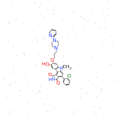 Cn1c2cc(OCCCN3CCN(c4ccccn4)CC3)c(O)cc2c2c3c(c(-c4ccccc4Cl)cc21)C(=O)NC3=O